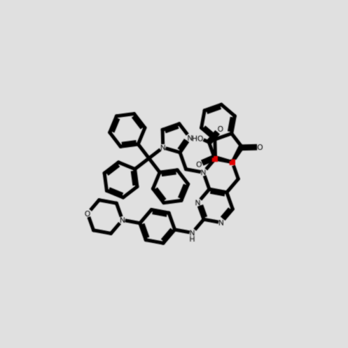 CCC(C(=O)O)N(Cc1nccn1C(c1ccccc1)(c1ccccc1)c1ccccc1)c1nc(Nc2ccc(N3CCOCC3)cc2)ncc1CN1C(=O)c2ccccc2C1=O